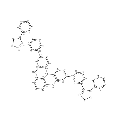 c1ccc(N2CCN=C2c2cccc(-c3ccc4c(c3)Oc3cccc5c3B4c3ccc(-c4cccc(C6=NCCN6c6ccccc6)c4)cc3O5)c2)cc1